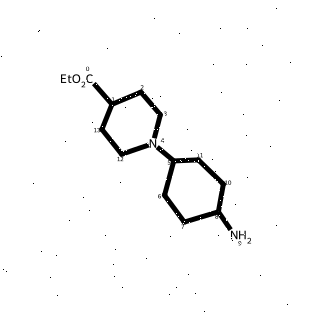 CCOC(=O)C1CCN(C2CCC(N)CC2)CC1